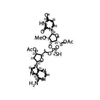 CO[C@H]1[C@@H](OP(=O)(S)OC[C@H]2O[C@@H](n3cnc4c(N)ncnc43)C[C@H]2OC(C)=O)[C@@H](COC(C)=O)O[C@H]1n1ccc(=O)[nH]c1=O